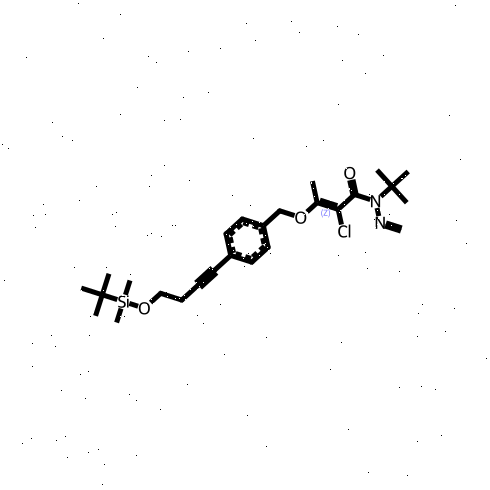 C=NN(C(=O)/C(Cl)=C(\C)OCc1ccc(C#CCCO[Si](C)(C)C(C)(C)C)cc1)C(C)(C)C